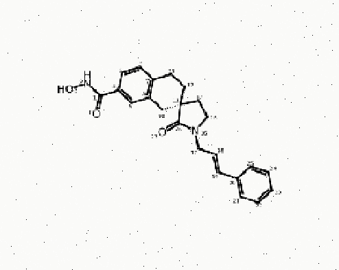 O=C(NO)c1ccc2c(c1)C[C@]1(CC2)CCN(C/C=C/c2ccccc2)C1=O